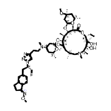 CC[C@H]1OC(=O)[C@H](C)[C@@H](O[C@H]2C[C@@](C)(OC)C[C@H](C)O2)[C@H](C)[C@@H](O[C@H]2C[C@@H](N(C)CCc3cn([C@H](CF)Cc4ccc5c(c4)CC/C5=N\OC)nn3)C[C@@H](C)O2)[C@](C)(O)C[C@@H](C)CN(C)[C@H](C)[C@@H](O)[C@]1(C)O